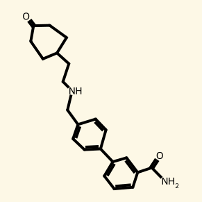 NC(=O)c1cccc(-c2ccc(CNCCC3CCC(=O)CC3)cc2)c1